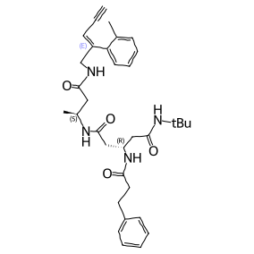 C#C/C=C(/CNC(=O)C[C@H](C)NC(=O)C[C@H](CC(=O)NC(C)(C)C)NC(=O)CCc1ccccc1)c1ccccc1C